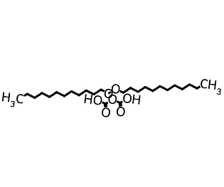 CCCCCCCCCCCCOOCCCCCCCCCCCC.O=C(O)OC(=O)O